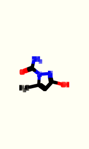 Cc1cc(O)nn1C(N)=O